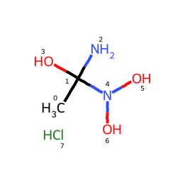 CC(N)(O)N(O)O.Cl